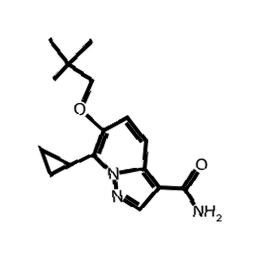 CC(C)(C)COc1ccc2c(C(N)=O)cnn2c1C1CC1